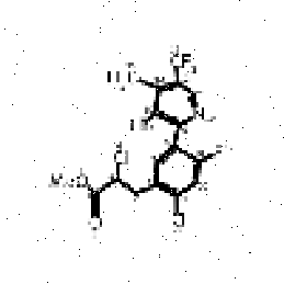 COC(=O)C(Cl)Cc1cc(-c2ncc(C(F)(F)F)c(C)c2Cl)c(F)cc1Cl